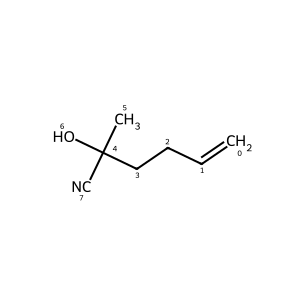 C=CCCC(C)(O)C#N